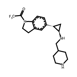 O=C(N1CCc2cc([C@@H]3C[C@H]3NCC3CCNCC3)ccc21)C(F)(F)F